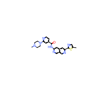 Cc1cnc(-c2cc3cc(NC(=O)c4ccnc(N5CCN(C)CC5)c4)ncc3cn2)s1